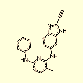 C#Cc1nc2ccc(Nc3nc(Nc4ccccc4)ncc3C)cc2[nH]1